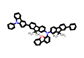 CC1(C)c2cc(-c3ccccc3)ccc2-c2ccc(N(c3ccc4c(c3)C(C)(C)C3C=C(c5ccc6c(c5)c5ccccc5n6-c5ccccc5)C=CC43)c3cccc4c3oc3ccccc34)cc21